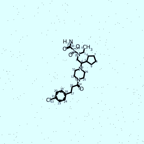 CCN(CC(C1CCCC1)N1CCN(C(=O)[CH]Cc2ccc(Cl)cc2)CC1)S(=O)(=O)C(N)=O